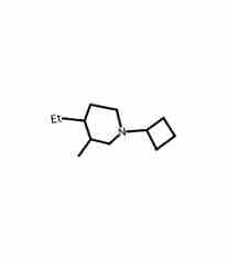 CCC1CCN(C2CCC2)CC1C